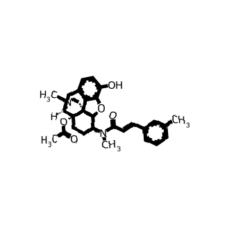 CC(=O)O[C@@]12CCC(N(C)C(=O)/C=C/c3cccc(C)c3)C3Oc4c(O)ccc5c4[C@@]31CCN(C)[C@@H]2C5